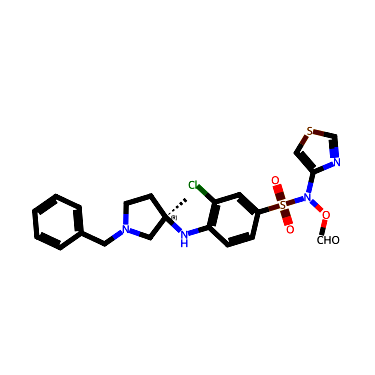 C[C@@]1(Nc2ccc(S(=O)(=O)N(OC=O)c3cscn3)cc2Cl)CCN(Cc2ccccc2)C1